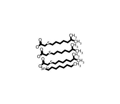 CC(C)CCCCCSCC(=O)[O-].CC(C)CCCCCSCC(=O)[O-].CC(C)CCCCCSCC(=O)[O-].CCCCCCC[CH2][Sn+3]